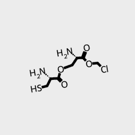 N[C@@H](CS)C(=O)OC[C@H](N)C(=O)OCCl